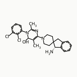 CC1=NC(N2CCC3(CC2)Cc2ccccc2[C@@H]3N)=C(C)C(O)N1c1cccc(Cl)c1Cl